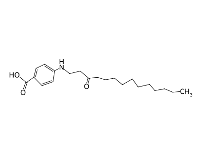 CCCCCCCCCCCC(=O)CCNc1ccc(C(=O)O)cc1